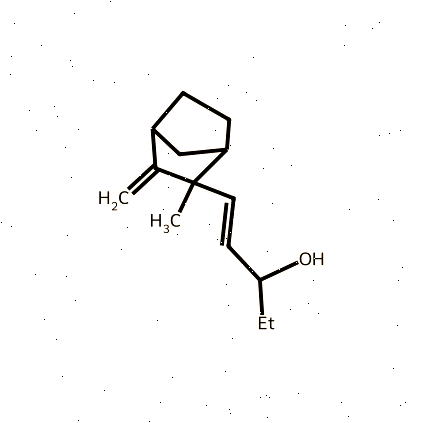 C=C1C2CCC(C2)C1(C)C=CC(O)CC